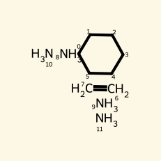 C1CCCCC1.C=C.N.N.N.N